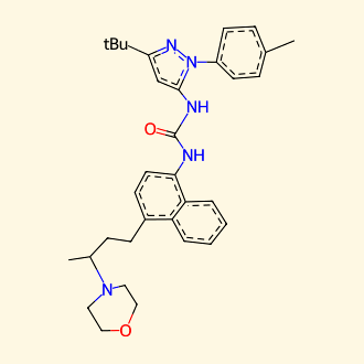 Cc1ccc(-n2nc(C(C)(C)C)cc2NC(=O)Nc2ccc(CCC(C)N3CCOCC3)c3ccccc23)cc1